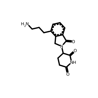 NCCCc1cccc2c1CN(C1CCC(=O)NC1=O)C2=O